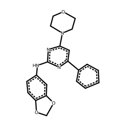 c1ccc(-c2cc(N3CCOCC3)nc(Nc3ccc4c(c3)OCO4)n2)cc1